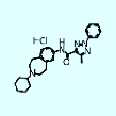 Cc1nn(-c2ccccc2)nc1C(=O)Nc1ccc2c(c1)CCN(C1CCCCC1)CC2.Cl